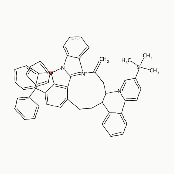 C=C1CC2C(CCc3ccc4c(oc5ccccc54)c3-c3n(-c4cccc(-c5ccccc5)c4)c4ccccc4[n+]31)c1ccccc1-c1ccc([Si](C)(C)C)c[n+]12